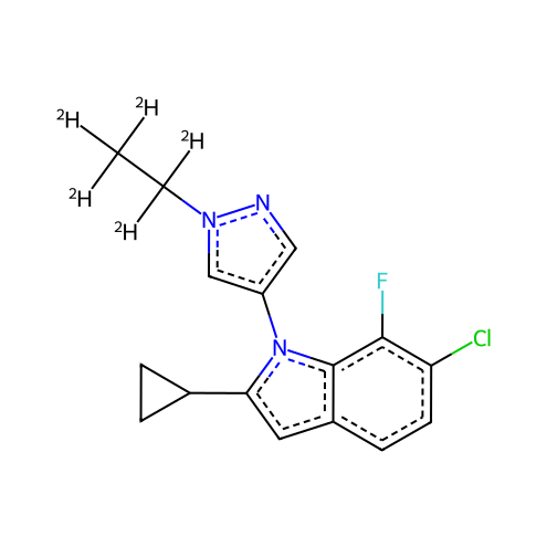 [2H]C([2H])([2H])C([2H])([2H])n1cc(-n2c(C3CC3)cc3ccc(Cl)c(F)c32)cn1